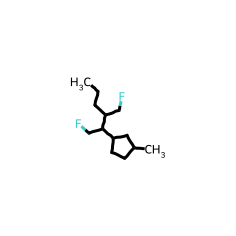 CCCC(CF)C(CF)C1CCC(C)C1